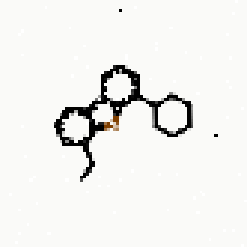 CCc1cccc2c1sc1c(C3CCCCC3)cccc12